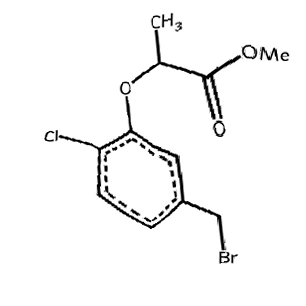 COC(=O)C(C)Oc1cc(CBr)ccc1Cl